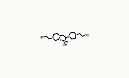 O=S(=O)(O)C(CN1CCN(CCO)CC1)N1CCN(CCO)CC1